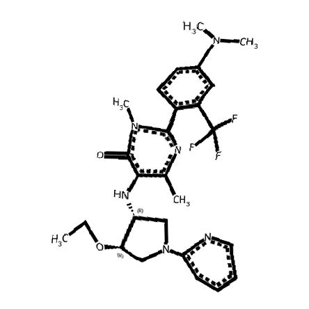 CCO[C@@H]1CN(c2ccccn2)C[C@H]1Nc1c(C)nc(-c2ccc(N(C)C)cc2C(F)(F)F)n(C)c1=O